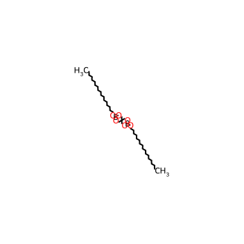 CCCCCCCCCCCCCCCCCCOB1OCC2(CO1)COB(OCCCCCCCCCCCCCCCCCC)OC2